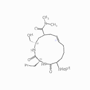 CCCCCCCC1CCC/C=C/CC(C(=O)N(C)C)C[C@@H](CO)NC(=O)[C@H](CC(C)C)NC1=O